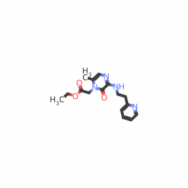 CCOC(=O)Cn1c(C)cnc(NCCc2ccccn2)c1=O